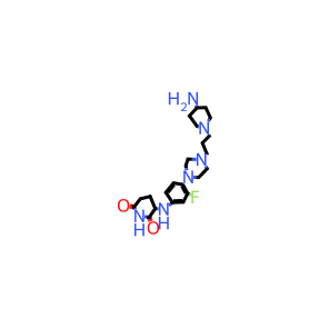 NC1CCN(CCCN2CCN(c3ccc(NC4CCC(=O)NC4=O)cc3F)CC2)CC1